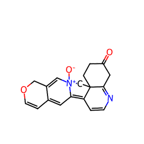 O=C1CCC23C[N+]4([O-])C=C5COC=CC5=CC4=C2C=CN=C3C1